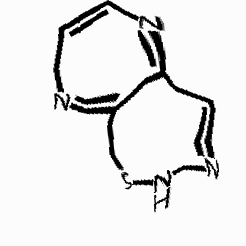 C1=NNSc2nccnc21